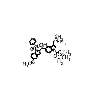 COc1ccc2c(c1)cc(C(O)c1ccc3c(c1)c(CN(C)C)cn3C(=O)OC(C)(C)C)n2S(=O)(=O)c1ccccc1